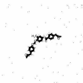 Cc1cc(OC(=O)c2ccc(CC3CO3)cc2)ccc1OCOc1ccc(CC2CO2)cc1